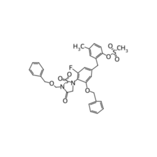 Cc1ccc(OS(C)(=O)=O)c(Cc2cc(F)c(N3CC(=O)N(COCc4ccccc4)S3(=O)=O)c(OCc3ccccc3)c2)c1